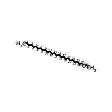 [CH2]CCCCCCCCCCCCCCCCCCCCCCCCCOCC